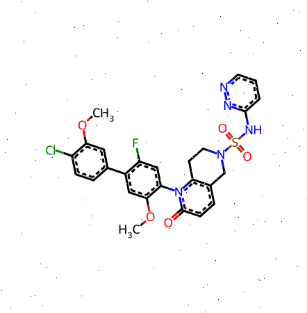 COc1cc(-c2cc(OC)c(-n3c4c(ccc3=O)CN(S(=O)(=O)Nc3cccnn3)CC4)cc2F)ccc1Cl